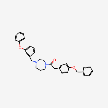 O=C(Cc1ccc(OCc2ccccc2)cc1)N1CCCN(Cc2cccc(Oc3ccccc3)c2)CC1